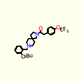 CC(C)COc1ccccc1CN1CCC2(CC1)CCN(C(=O)Cc1ccc(OC(F)(F)F)cc1)C2